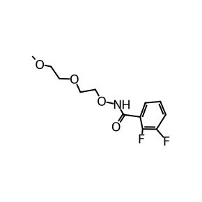 COCCOCCONC(=O)c1cccc(F)c1F